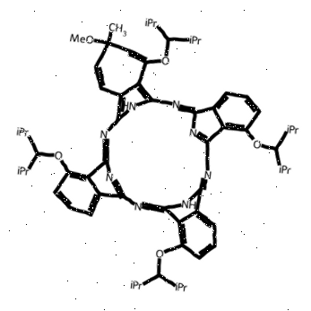 COC1(C)C=Cc2c(c3nc4nc(nc5[nH]c(nc6nc(nc2[nH]3)-c2c(OC(C(C)C)C(C)C)cccc2-6)c2c(OC(C(C)C)C(C)C)cccc52)-c2c(OC(C(C)C)C(C)C)cccc2-4)C(OC(C(C)C)C(C)C)=C1